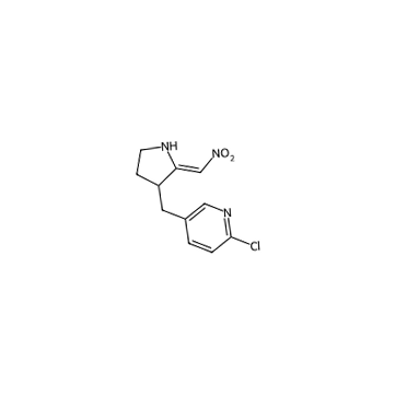 O=[N+]([O-])C=C1NCCC1Cc1ccc(Cl)nc1